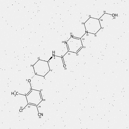 Cc1c(O[C@H]2CC[C@H](NC(=O)c3ccc(N4CCC(CO)CC4)nn3)CC2)ccc(C#N)c1Cl